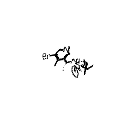 Cc1c(Br)cncc1[C@@H](C)N[S@+]([O-])C(C)(C)C